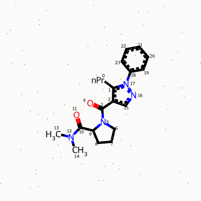 CCCc1c(C(=O)N2CCCC2C(=O)N(C)C)cnn1-c1ccccc1